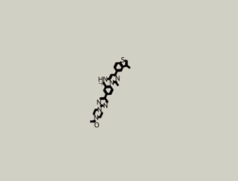 CC(=O)N1CCN(c2ncc(-c3cccc([C@H](C)Nc4cc(-c5ccc6scc(C)c6c5)nc(C)n4)c3)cn2)CC1